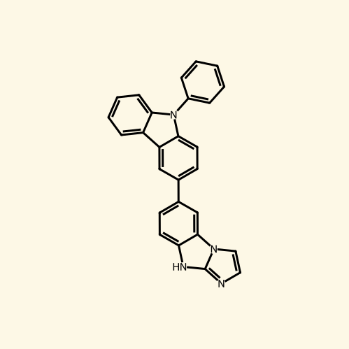 c1ccc(-n2c3ccccc3c3cc(-c4ccc5[nH]c6nccn6c5c4)ccc32)cc1